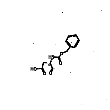 O=[C][C@H](CC(=O)O)NC(=O)OCc1ccccc1